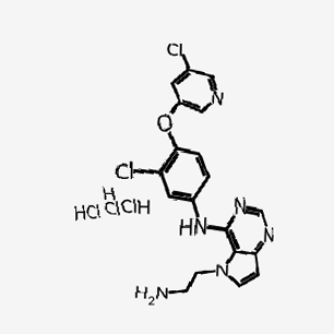 Cl.Cl.Cl.NCCn1ccc2ncnc(Nc3ccc(Oc4cncc(Cl)c4)c(Cl)c3)c21